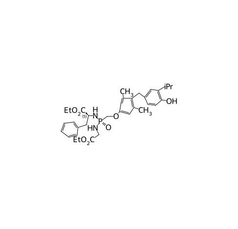 CCOC(=O)CNP(=O)(COc1cc(C)c(Cc2ccc(O)c(C(C)C)c2)c(C)c1)N[C@@H](Cc1ccccc1)C(=O)OCC